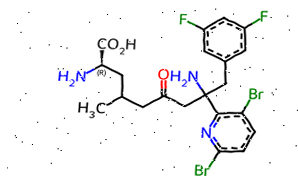 CC(CC(=O)CC(N)(Cc1cc(F)cc(F)c1)c1nc(Br)ccc1Br)C[C@@H](N)C(=O)O